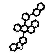 c1cc(-c2ccc3ccccc3c2)cc(-c2c3ccccc3c(-c3ccc4oc5ccccc5c4c3)c3ccc4ccccc4c23)c1